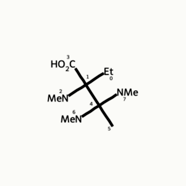 CCC(NC)(C(=O)O)C(C)(NC)NC